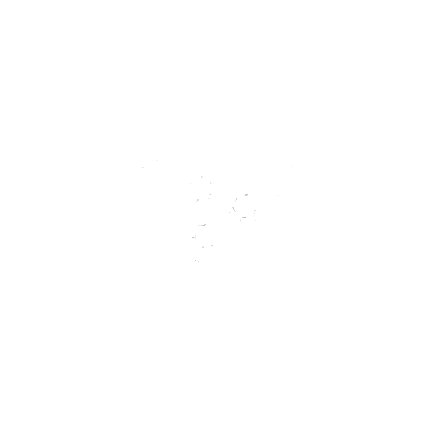 CN(C)c1ccc([S+](c2cccc(OC3CCCO3)c2)c2cccc(OC3CCCO3)c2)cc1